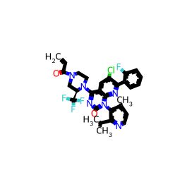 C=CC(=O)N1CCN(c2nc(=O)n(-c3c(C)ccnc3C(C)C)c3nc(-c4ccccc4F)c(Cl)cc23)[C@@H](C(F)(F)F)C1